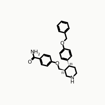 NC(=O)c1ccc(OC[C@@H]2CNCC[C@H]2c2ccc(OCc3ccccc3)cc2)cc1